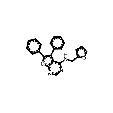 c1ccc(-c2oc3ncnc(NCc4ccco4)c3c2-c2ccccc2)cc1